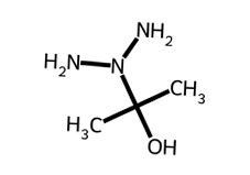 CC(C)(O)N(N)N